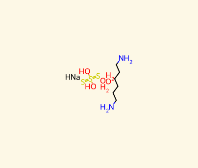 NCCCCCCN.O.O.OS(O)(=S)=S.[NaH]